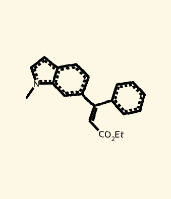 CCOC(=O)C=C(c1ccccc1)c1ccc2ccn(C)c2c1